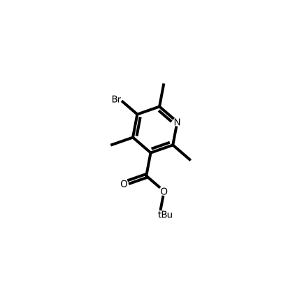 Cc1nc(C)c(C(=O)OC(C)(C)C)c(C)c1Br